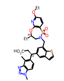 CCOc1ccc2c(n1)O[C@H](CC)CN(Cc1cc([C@H](CC(=O)O)c3ccc4c(nnn4C)c3C)cc3ccsc13)S2(=O)=O